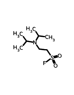 CC(C)N(CCS(=O)(=O)F)C(C)C